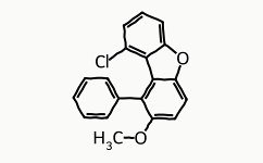 COc1ccc2oc3cccc(Cl)c3c2c1-c1ccccc1